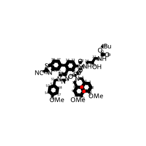 COc1ccc(CN(Cc2ccc(OC)cc2)S(=O)(=O)c2c(S(=O)(=O)NCC(O)CNC(=O)OC(C)(C)C)ccc(-c3ccc4sc(C#N)nc4c3)c2-c2nnn(Cc3ccc(OC)cc3)n2)cc1